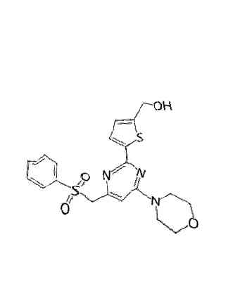 O=S(=O)(Cc1cc(N2CCOCC2)nc(-c2ccc(CO)s2)n1)c1ccccc1